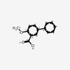 COc1ccc(-c2ccccc2)cc1C(=O)Cl